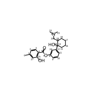 Cc1ccc(C(=O)Oc2cccc([C@@]3(O)CCCC[C@@H]3CN(C)C)c2)c(O)c1